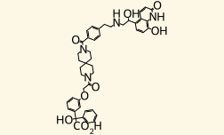 O=C(COc1cccc(C(O)(C(=O)O)c2ccccc2)c1)N1CCC2(CC1)CCN(C(=O)c1ccc(CCNCC(O)c3ccc(O)c4[nH]c(=O)ccc34)cc1)CC2